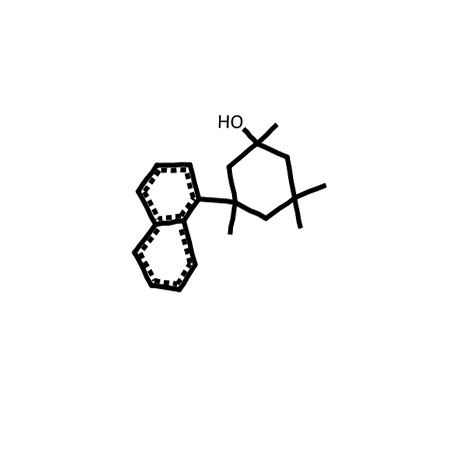 CC1(C)CC(C)(O)CC(C)(c2cccc3ccccc23)C1